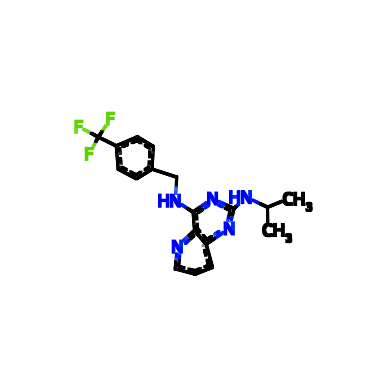 CC(C)Nc1nc(NCc2ccc(C(F)(F)F)cc2)c2ncccc2n1